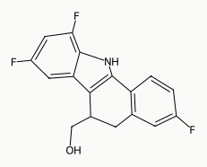 OCC1Cc2cc(F)ccc2-c2[nH]c3c(F)cc(F)cc3c21